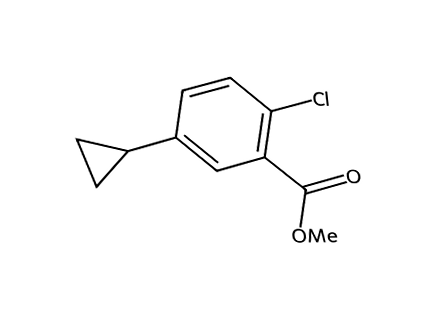 COC(=O)c1cc(C2CC2)ccc1Cl